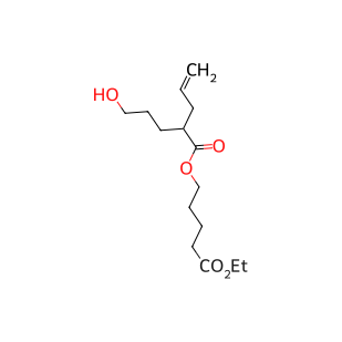 C=CCC(CCCO)C(=O)OCCCCC(=O)OCC